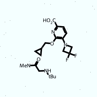 CNC(=O)CNC(C)(C)C.O=C(O)c1ccc(N2CC(F)(F)C2)c(OCC2CC2)n1